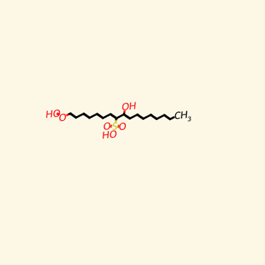 CCCCCCCCC(O)C(CCCCCCCOO)S(=O)(=O)O